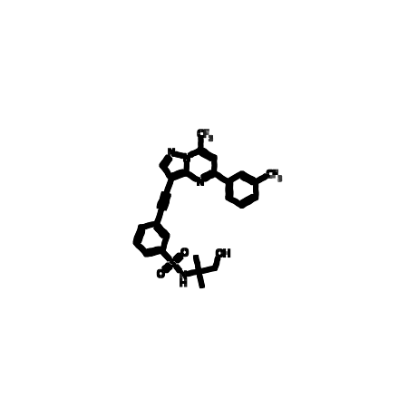 CC(C)(CO)NS(=O)(=O)c1cccc(C#Cc2cnn3c(C(F)(F)F)cc(-c4cccc(C(F)(F)F)c4)nc23)c1